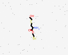 N[C@H](CCSCCO)C(=O)OCCS